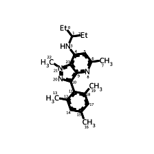 CCC(CC)Nc1cc(C)nc2c(-c3c(C)cc(C)cc3C)nn(C)c12